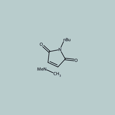 CCCCN1C(=O)C=CC1=O.CNC